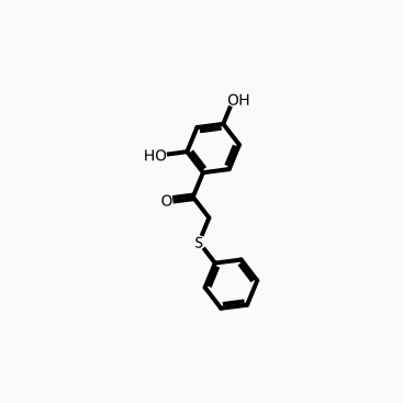 O=C(CSc1ccccc1)c1ccc(O)cc1O